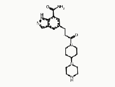 NC(=O)c1cc(C[CH]C(=O)N2CCC(N3CCNCC3)CC2)cc2cn[nH]c12